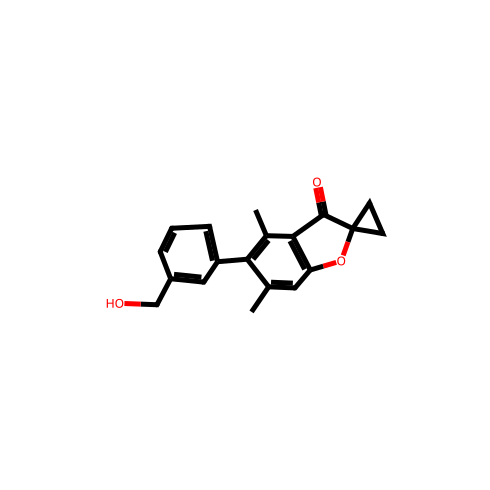 Cc1cc2c(c(C)c1-c1cccc(CO)c1)C(=O)C1(CC1)O2